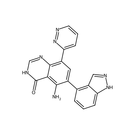 Nc1c(-c2cccc3[nH]ncc23)cc(-c2cccnn2)c2nc[nH]c(=O)c12